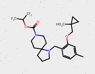 Cc1ccc(CN2CCCC23CCN(C(=O)OC(C(F)(F)F)C(F)(F)F)CC3)c(OCC2(C(=O)O)CC2)c1